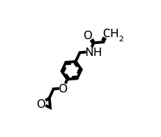 C=CC(=O)NCc1ccc(OCC2CO2)cc1